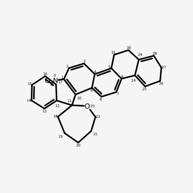 O=[N+]([O-])c1ccc2c3c(ccc2c1C1(c2ccccc2)CCCCCO1)C1=CCCC=C1CC3